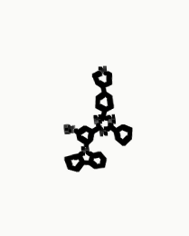 Brc1cc(-c2nc(-c3ccccc3)nc(-c3ccc(-c4ccncc4)cc3)n2)cc(-n2c3ccccc3c3ccccc32)c1